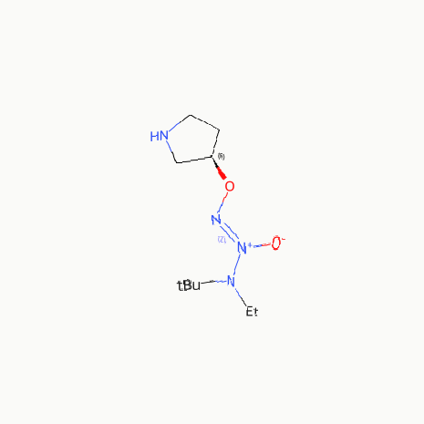 CCN(/[N+]([O-])=N/O[C@@H]1CCNC1)C(C)(C)C